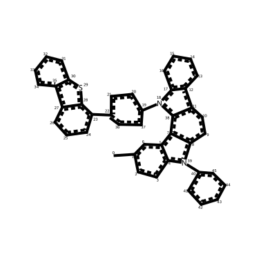 Cc1ccc2c(c1)c1c(ccc3c4ccccc4n(-c4ccc(-c5cccc6c5sc5ccccc56)cc4)c31)n2-c1ccccc1